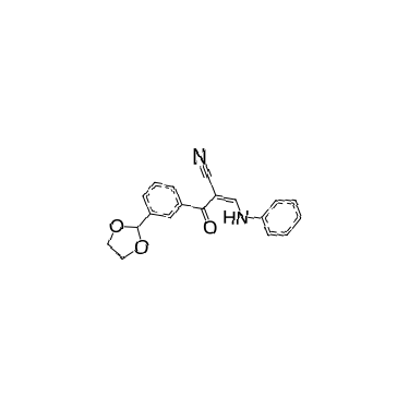 N#CC(=CNc1ccccc1)C(=O)c1cccc(C2OCCO2)c1